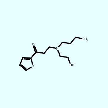 CCCCN(CCO)CCC(=O)c1ccco1